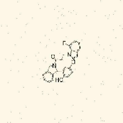 O=C(CCn1ncc2cccc(F)c21)N1Cc2ccccc2C1c1cc(Cl)ccc1O